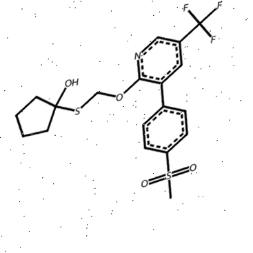 CS(=O)(=O)c1ccc(-c2cc(C(F)(F)F)cnc2OCSC2(O)CCCC2)cc1